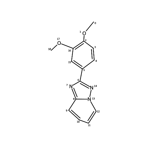 COc1ccc(-c2nc3ccccn3n2)cc1OC